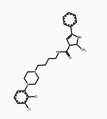 CC1NC(c2ccccc2)=CC1C(=O)NCCCCN1CCN(c2cccc(Cl)c2Cl)CC1